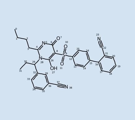 CCCCc1nc(=O)c(S(=O)(=O)c2ccc(-c3ccccc3C#N)cc2)c(O)n1C(CC)c1cccc(C#N)c1